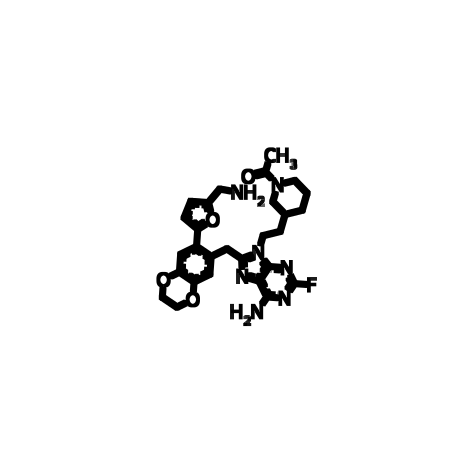 CC(=O)N1CCCC(CCn2c(Cc3cc4c(cc3-c3ccc(CN)o3)OCCO4)nc3c(N)nc(F)nc32)C1